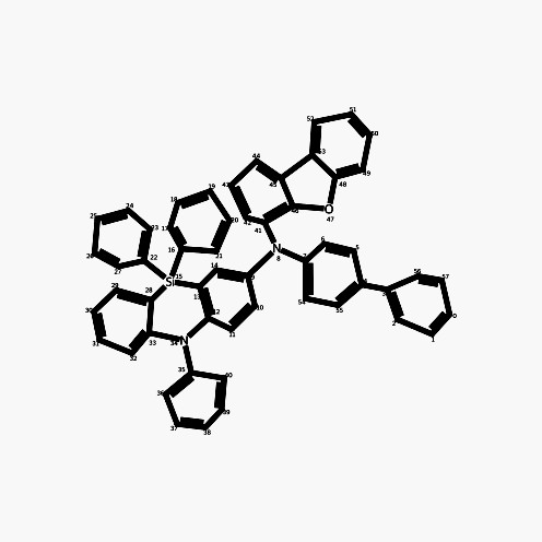 c1ccc(-c2ccc(N(c3ccc4c(c3)[Si](c3ccccc3)(c3ccccc3)c3ccccc3N4c3ccccc3)c3cccc4c3oc3ccccc34)cc2)cc1